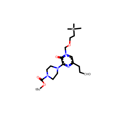 CC(C)(C)OC(=O)N1CCN(c2nc(CCC=O)cn(COCC[Si](C)(C)C)c2=O)CC1